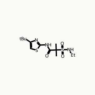 CCNS(=O)(=O)C(C)(C)C(=O)Nc1nc(C(C)(C)C)cs1